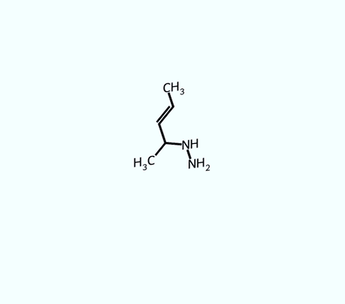 CC=CC(C)NN